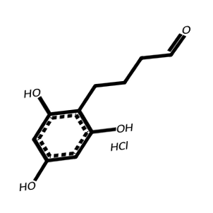 Cl.O=CCCCc1c(O)cc(O)cc1O